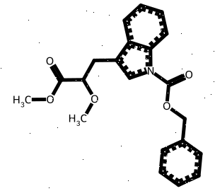 COC(=O)C(Cc1cn(C(=O)OCc2ccccc2)c2ccccc12)OC